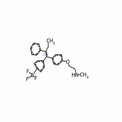 CC/C(=C(\c1ccc(OCCNC)cc1)c1ccc([B-](F)(F)F)cc1)c1ccccc1